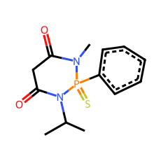 CC(C)N1C(=O)CC(=O)N(C)P1(=S)c1ccccc1